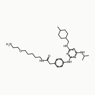 CC1CCC(CNc2nc(Nc3ccc(CC(=O)NCCCCCOCCN)cc3)nc(NC(C)C)n2)CC1